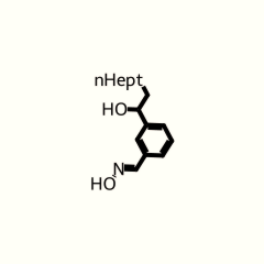 CCCCCCCCC(O)c1cccc(C=NO)c1